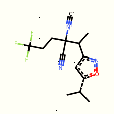 [C-]#[N+]C(C#N)(CCC(F)(F)F)C(C)c1cc(C(C)C)on1